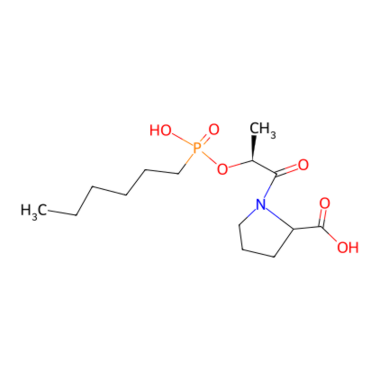 CCCCCCP(=O)(O)O[C@@H](C)C(=O)N1CCCC1C(=O)O